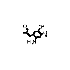 COc1cc(N)c(C=C(C)C=O)cc1OC